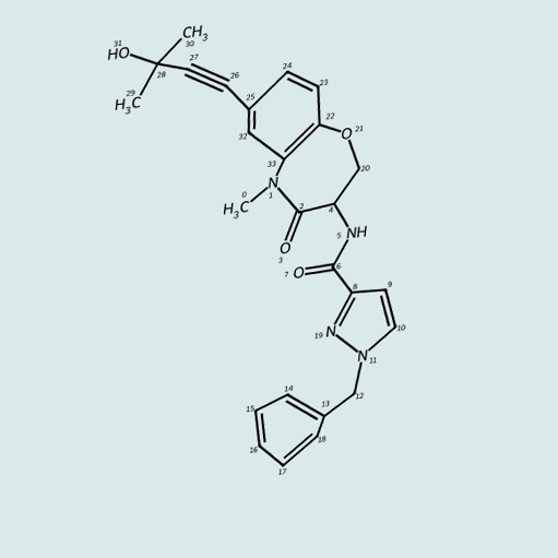 CN1C(=O)C(NC(=O)c2ccn(Cc3ccccc3)n2)COc2ccc(C#CC(C)(C)O)cc21